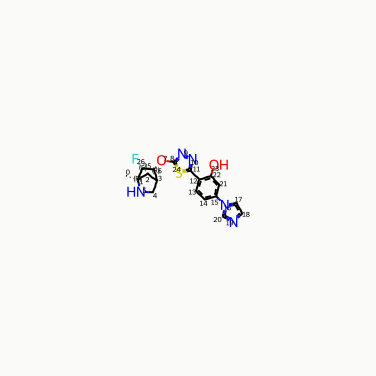 C[C@]12CC(CN1)[C@@H](Oc1nnc(-c3ccc(-n4ccnc4)cc3O)s1)[C@H]2F